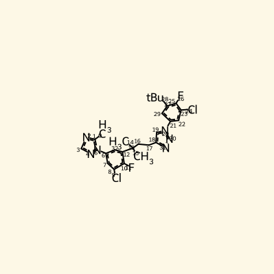 Cc1ncnn1-c1cc(Cl)c(F)c(C(C)(C)CCc2cn(-c3cc(Cl)c(F)c(C(C)(C)C)c3)nn2)c1